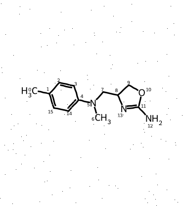 Cc1ccc(N(C)CC2COC(N)=N2)cc1